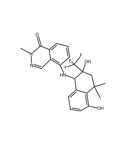 Cn1ncc2c(NC3c4cccc(O)c4C(C)(C)CC3(O)C(F)(F)F)cccc2c1=O